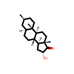 C[C@H]1CC[C@@]2(C)[C@@H](CC[C@@H]3[C@@H]2CC[C@]2(C)C(=O)[C@H](O)C[C@@H]32)C1